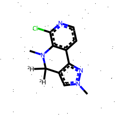 [2H]C1([2H])c2cn(C)nc2-c2ccnc(Cl)c2N1C